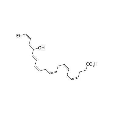 CC/C=C\CC(O)/C=C/C=C\C/C=C\C/C=C\C/C=C\CCC(=O)O